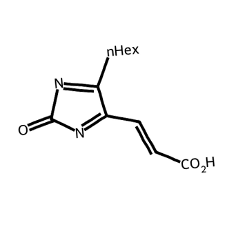 CCCCCCC1=NC(=O)N=C1C=CC(=O)O